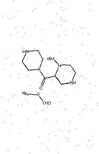 CC(C)(C)OC=O.CCCCN1CCNCC1C(=O)N1CCNCC1